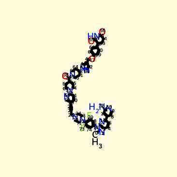 Cc1nc2ccc(-c3ccnc(N)c3)nc2n1-c1cc(F)c(N2CCN(CC#Cc3ccc(N4CCC(C(=O)N5CCC(n6cc(COc7ccc(C8CCC(=O)NC8=O)cc7)cn6)CC5)CC4)nc3)CC2)c(F)c1